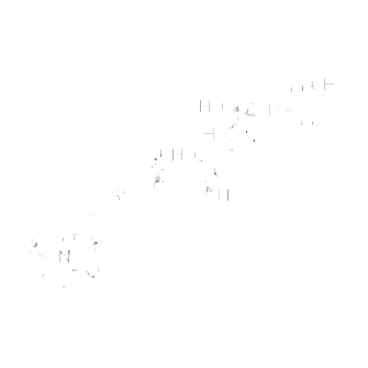 COC(=O)CCN(CCOC(C)(C)CCS(=O)(=O)CCSCCC(=O)ON1C(=O)CCC1=O)C(C)(C)C